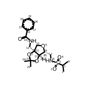 CC(C)S(=O)(=O)NC[C@H]1OC[C@]2(CNC(=O)c3ccccc3)OC(C)(C)O[C@H]12